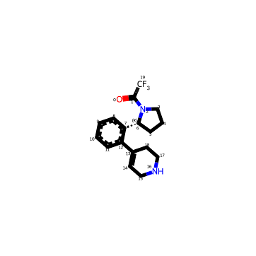 O=C(N1CCC[C@@H]1c1ccccc1C1=CCNCC1)C(F)(F)F